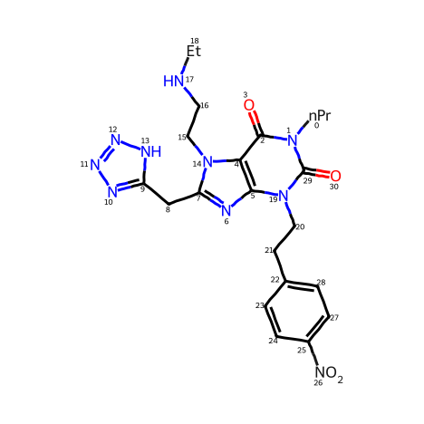 CCCn1c(=O)c2c(nc(Cc3nnn[nH]3)n2CCNCC)n(CCc2ccc([N+](=O)[O-])cc2)c1=O